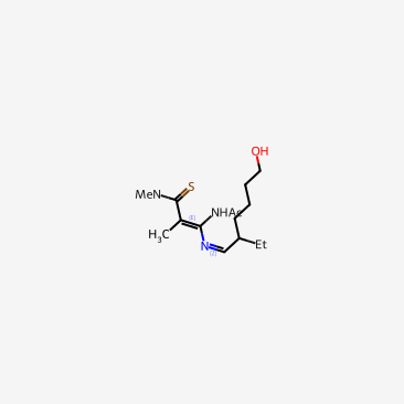 CCC(/C=N\C(NC(C)=O)=C(/C)C(=S)NC)CCCCO